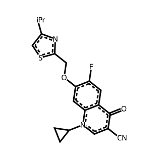 CC(C)c1csc(COc2cc3c(cc2F)c(=O)c(C#N)cn3C2CC2)n1